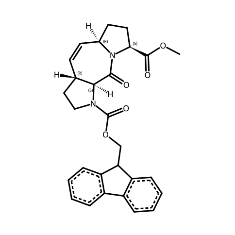 COC(=O)[C@@H]1CC[C@@H]2C=C[C@H]3CCN(C(=O)OCC4c5ccccc5-c5ccccc54)[C@@H]3C(=O)N21